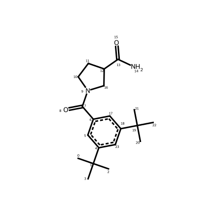 CC(C)(C)c1cc(C(=O)N2CCC(C(N)=O)C2)cc(C(C)(C)C)c1